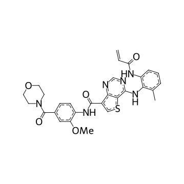 C=CC(=O)Nc1cccc(C)c1Nc1ncnc2c(C(=O)Nc3ccc(C(=O)N4CCOCC4)cc3OC)csc12